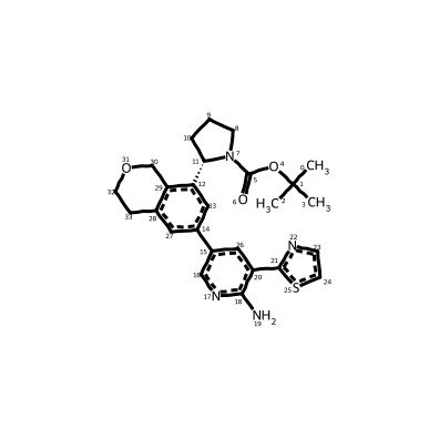 CC(C)(C)OC(=O)N1CCC[C@H]1c1cc(-c2cnc(N)c(-c3nccs3)c2)cc2c1COCC2